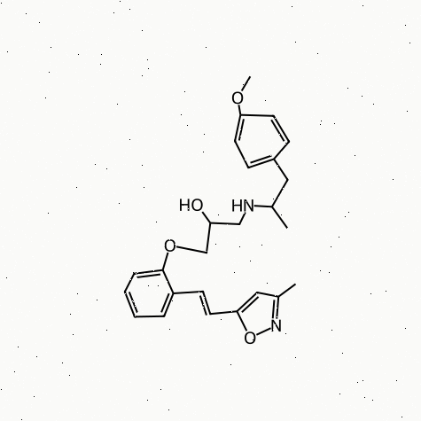 COc1ccc(CC(C)NCC(O)COc2ccccc2C=Cc2cc(C)no2)cc1